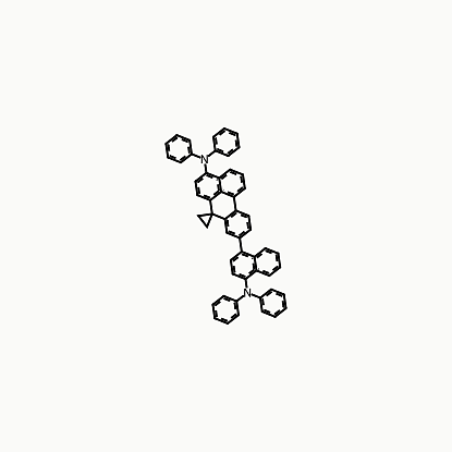 c1ccc(N(c2ccccc2)c2ccc(-c3ccc4c(c3)C3(CC3)c3ccc(N(c5ccccc5)c5ccccc5)c5cccc-4c35)c3ccccc23)cc1